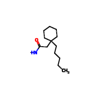 CCCCCC1(CC([NH])=O)CCCCC1